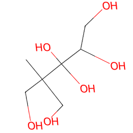 CC(CO)(CO)C(O)(O)C(O)CO